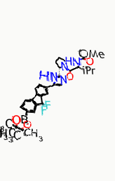 COC(=O)N[C@H](C(=O)N1CCC[C@H]1c1ncc(-c2ccc3c(c2)C(F)(F)c2cc(B4OC(C)(C)C(C)(C)O4)ccc2-3)[nH]1)C(C)C